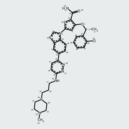 C[C@@H](Oc1cc(-n2cnc3cc(-c4ccc(NCCCN5CCN(C)CC5)nn4)ccc32)sc1C(N)=O)c1ccccc1Cl